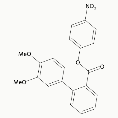 COc1ccc(-c2ccccc2C(=O)Oc2ccc([N+](=O)[O-])cc2)cc1OC